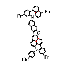 CC(C)c1ccc(-c2ccccc2)c(N(c2ccc(C(C)(C)C)cc2)c2ccc3cc4c(cc3c2)oc2cc3cc(N(c5ccc(C(C)(C)C)cc5)c5cc(C(C)C)ccc5-c5ccccc5)ccc3cc24)c1